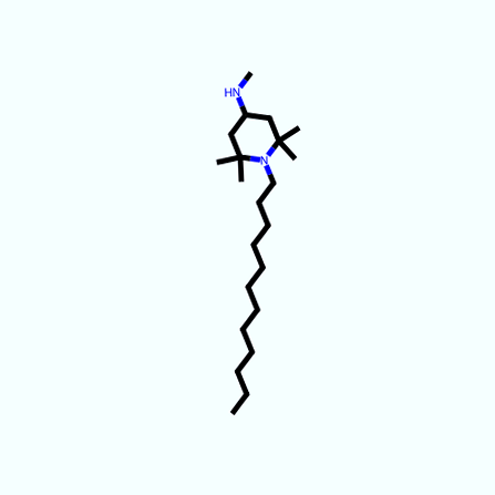 CCCCCCCCCCCCN1C(C)(C)CC(NC)CC1(C)C